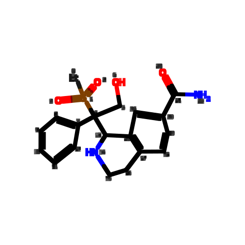 CCS(=O)(=O)C(CO)(c1ccccc1)C1NCCc2ccc(C(N)=O)cc21